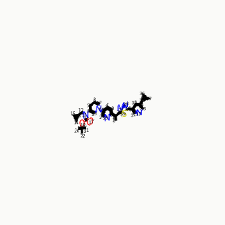 CC(c1ccc(N2CCC[C@@H](N(CC3CC3)C(=O)OC(C)(C)C)C2)cn1)c1nnc(-c2cncc(C3CC3)c2)s1